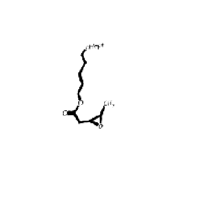 CCCCCCCCCCCCOC(=O)CC1OC1C